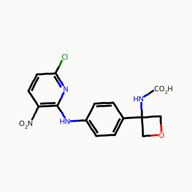 O=C(O)NC1(c2ccc(Nc3nc(Cl)ccc3[N+](=O)[O-])cc2)COC1